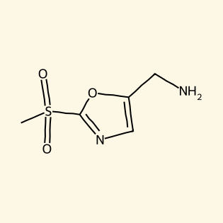 CS(=O)(=O)c1ncc(CN)o1